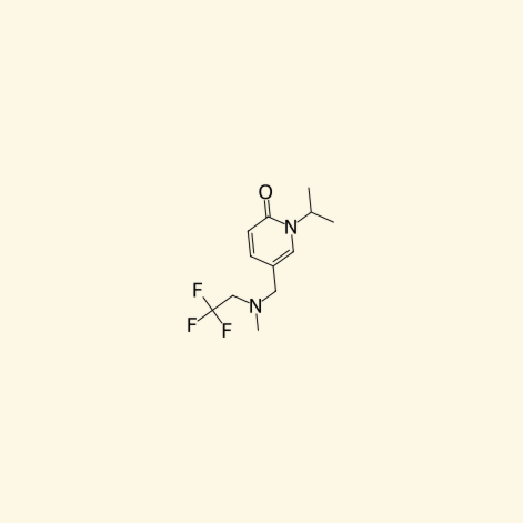 CC(C)n1cc(CN(C)CC(F)(F)F)ccc1=O